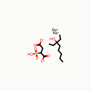 CCCCCC(O)(CC)CC.O=C([O-])CC(C(=O)[O-])S(=O)(=O)O.[Na+].[Na+]